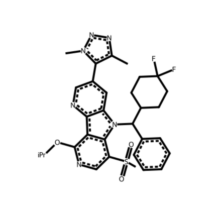 Cc1nnn(C)c1-c1cnc2c3c(OC(C)C)ncc(S(C)(=O)=O)c3n(C(c3ccccc3)C3CCC(F)(F)CC3)c2c1